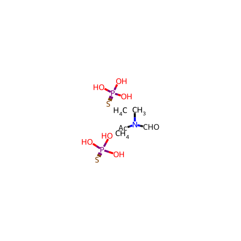 C.C.CC(=O)N(C)C=O.OP(O)(O)=S.OP(O)(O)=S